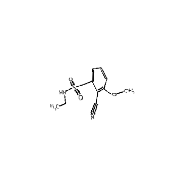 CCNS(=O)(=O)c1cccc(OC)c1C#N